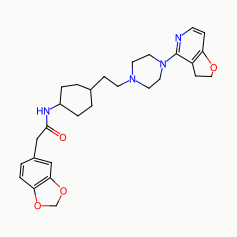 O=C(Cc1ccc2c(c1)OCO2)NC1CCC(CCN2CCN(c3nccc4c3CCO4)CC2)CC1